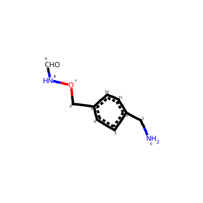 NCc1ccc(CONC=O)cc1